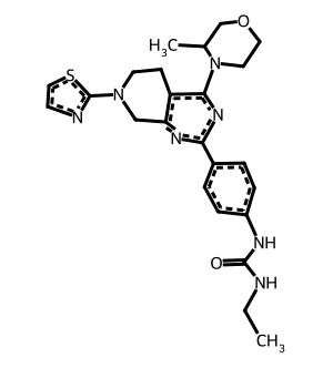 CCNC(=O)Nc1ccc(-c2nc3c(c(N4CCOCC4C)n2)CCN(c2nccs2)C3)cc1